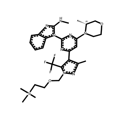 CNc1nc2ccccc2n1-c1nc(-c2c(C)nn(COCC[Si](C)(C)C)c2C(F)(F)F)cc(N2CCOC[C@H]2C)n1